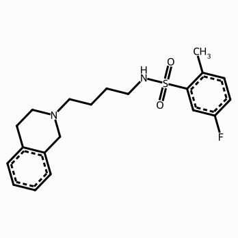 Cc1ccc(F)cc1S(=O)(=O)NCCCCN1CCc2ccccc2C1